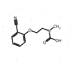 CN(CCOc1ccccc1C#N)C(=O)O